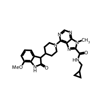 COc1cccc2c1NC(=O)C2C1CCN(c2ncnc3c2nc(C(=O)NCC2CC2)n3C)CC1